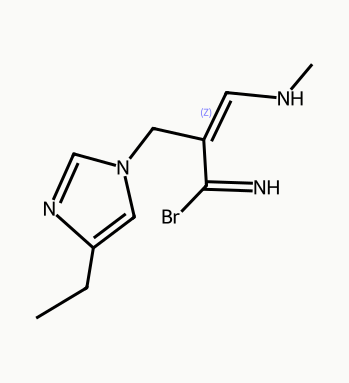 CCc1cn(C/C(=C/NC)C(=N)Br)cn1